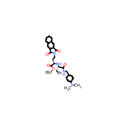 CC(C)C[C@H](N[C@H](CCN1C(=O)c2cc3ccccc3cc2C1=O)C(=O)OC(C)(C)C)C(=O)NCc1ccc(N(C)C)cc1